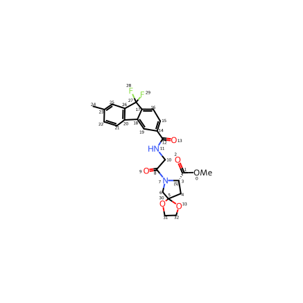 COC(=O)[C@@H]1CC2(CN1C(=O)CNC(=O)c1ccc3c(c1)-c1ccc(C)cc1C3(F)F)OCCO2